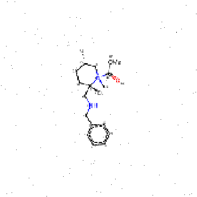 CC[C@@]1(CNCc2ccccc2)CC[C@H](C)C[N+]1(C)C(=O)OC